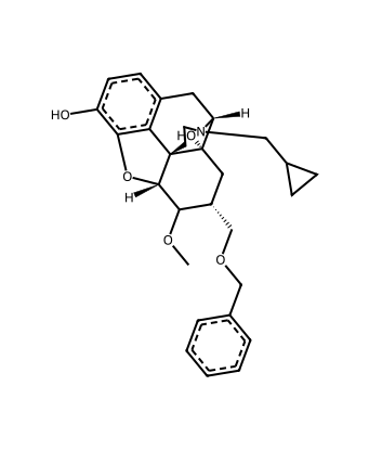 COC1[C@@H](COCc2ccccc2)C[C@]2(O)[C@H]3Cc4ccc(O)c5c4[C@@]2(CCN3CC2CC2)[C@H]1O5